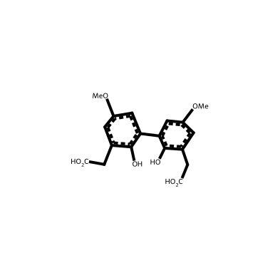 COc1cc(CC(=O)O)c(O)c(-c2cc(OC)cc(CC(=O)O)c2O)c1